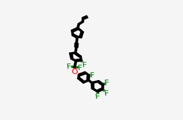 C=CCCc1ccc(C#Cc2ccc(C(F)(F)Oc3ccc(-c4cc(F)c(F)c(F)c4)c(F)c3)c(F)c2)cc1